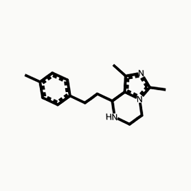 Cc1ccc(CCC2NCCn3c(C)nc(C)c32)cc1